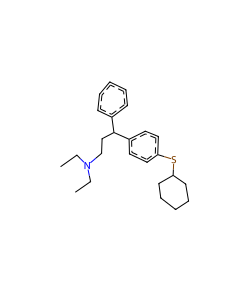 CCN(CC)CCC(c1ccccc1)c1ccc(SC2CCCCC2)cc1